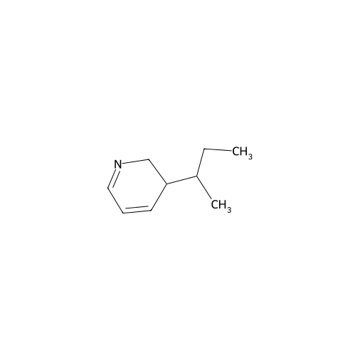 CCC(C)C1C=CC=NC1